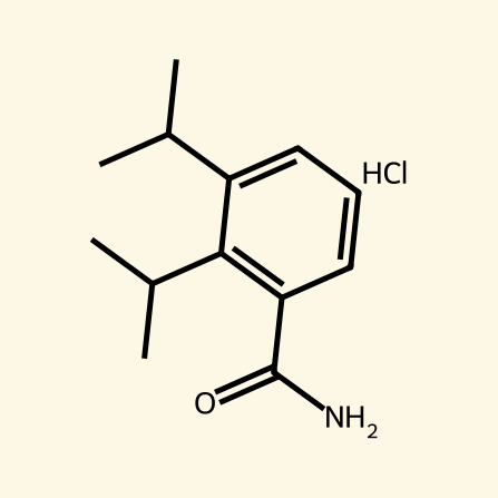 CC(C)c1cccc(C(N)=O)c1C(C)C.Cl